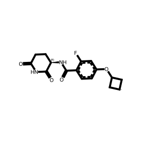 O=C1CC[C@@H](NC(=O)c2ccc(OC3C[CH]C3)cc2F)C(=O)N1